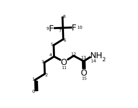 C=CCCC(CCC(C)(F)F)OCC(N)=O